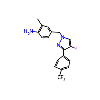 Cc1cc(Cn2cc(I)c(-c3ccc(C(F)(F)F)cc3)n2)ccc1N